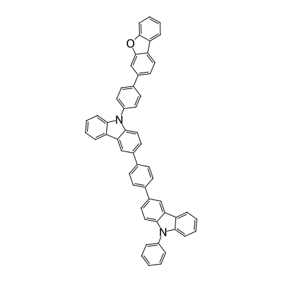 c1ccc(-n2c3ccccc3c3cc(-c4ccc(-c5ccc6c(c5)c5ccccc5n6-c5ccc(-c6ccc7c(c6)oc6ccccc67)cc5)cc4)ccc32)cc1